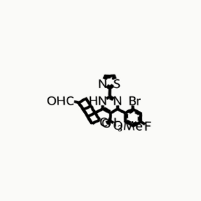 COC(=O)C1=C(C23C(C)C4C2C2C3CC42C=O)NC(c2nccs2)=NC1c1ccc(F)cc1Br